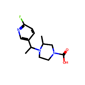 CC1CN(C(=O)O)CCN1C(C)c1ccc(F)nc1